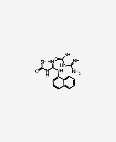 N=C(N)NC(=O)S.N=C(NC(=O)S)Nc1cccc2ccccc12